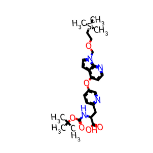 CC(C)(C)OC(=O)NC(Cc1ccc(Oc2ccnc3c2ccn3COCC[Si](C)(C)C)cn1)C(=O)O